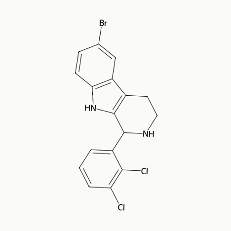 Clc1cccc(C2NCCc3c2[nH]c2ccc(Br)cc32)c1Cl